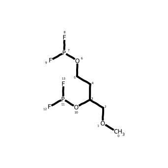 COCC(CCOP(F)F)OP(F)F